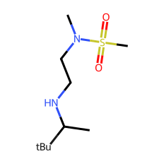 CC(NCCN(C)S(C)(=O)=O)C(C)(C)C